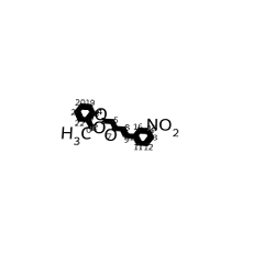 CC(OC(=O)CC(=O)C=Cc1cccc([N+](=O)[O-])c1)c1ccccc1